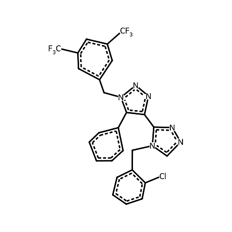 FC(F)(F)c1cc(Cn2nnc(-c3nncn3Cc3ccccc3Cl)c2-c2ccccc2)cc(C(F)(F)F)c1